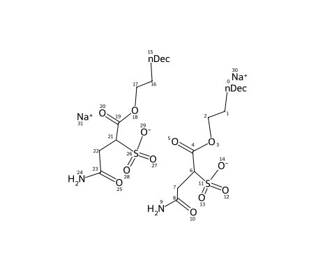 CCCCCCCCCCCCOC(=O)C(CC(N)=O)S(=O)(=O)[O-].CCCCCCCCCCCCOC(=O)C(CC(N)=O)S(=O)(=O)[O-].[Na+].[Na+]